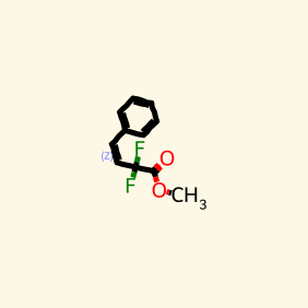 COC(=O)C(F)(F)/C=C\c1ccccc1